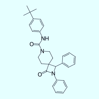 CC(C)(C)c1ccc(NC(=O)N2CCC3(CC2)C(=O)N(c2ccccc2)C3c2ccccc2)cc1